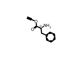 C#COC(=O)[C@@H](N)Cc1ccccc1